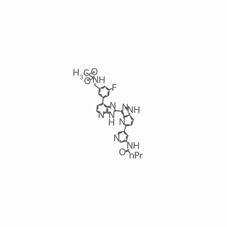 CCCC(=O)Nc1cncc(-c2ccc3[nH]nc(-c4nc5c(-c6cc(F)cc(CNS(C)(=O)=O)c6)ccnc5[nH]4)c3n2)c1